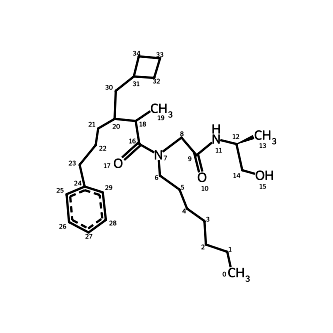 CCCCCCCN(CC(=O)N[C@@H](C)CO)C(=O)C(C)C(CCCc1ccccc1)CC1CCC1